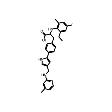 CCc1cc(F)cc(C)c1NC(Cc1ccc(-c2cc(CNc3cc(C)ccn3)c[nH]2)cc1)C(=O)O